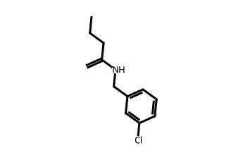 C=C(CCC)NCc1cccc(Cl)c1